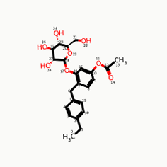 CCc1ccc(Cc2ccc(OC(C)=O)cc2OC2O[C@H](CO)[C@@H](O)[C@H](O)[C@H]2O)cc1